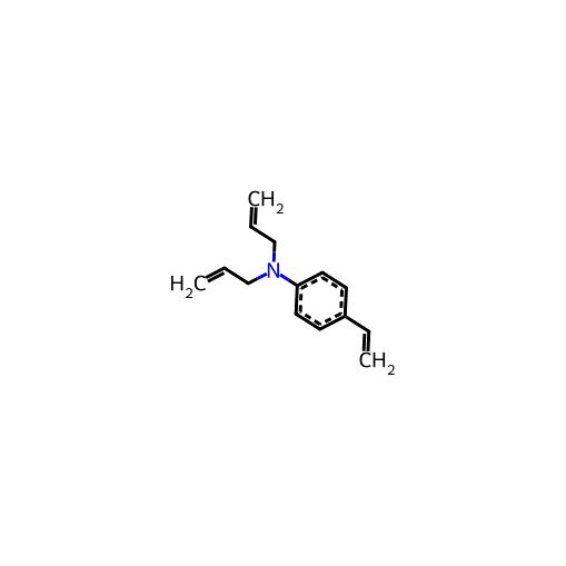 C=CCN(CC=C)c1ccc(C=C)cc1